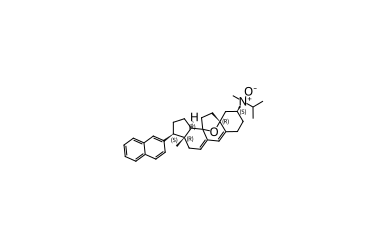 CC(C)[N+](C)([O-])[C@H]1CCC2=CC3=CC[C@]4(C)[C@@H](c5ccc6ccccc6c5)CC[C@H]4C34CC[C@]2(C1)O4